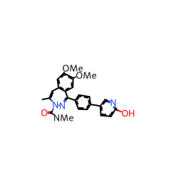 CNC(=O)N1N=C(c2ccc(-c3ccc(O)nc3)cc2)c2cc(OC)c(OC)cc2C=C1C